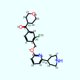 O=C(c1ccc(COc2cccc(C3CCNCC3)n2)c(F)c1)C1CCOCC1